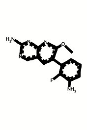 COc1nc2nc(N)ncc2cc1-c1cccc(N)c1F